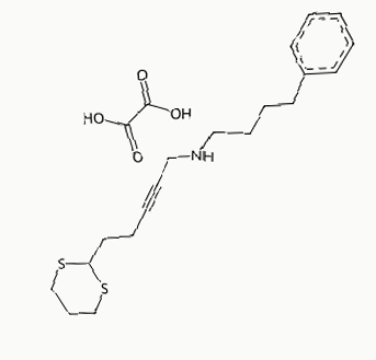 C(#CCNCCCCc1ccccc1)CCC1SCCCS1.O=C(O)C(=O)O